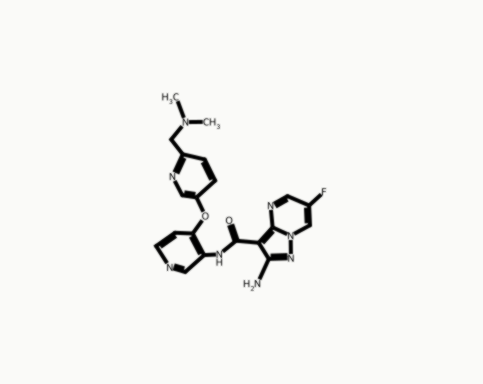 CN(C)Cc1ccc(Oc2ccncc2NC(=O)c2c(N)nn3cc(F)cnc23)cn1